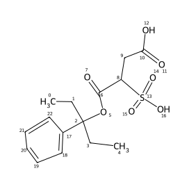 CCC(CC)(OC(=O)C(CC(=O)O)S(=O)(=O)O)c1ccccc1